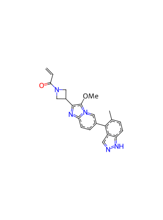 C=CC(=O)N1CC(c2nc3ccc(-c4c(C)ccc5[nH]ncc45)cn3c2OC)C1